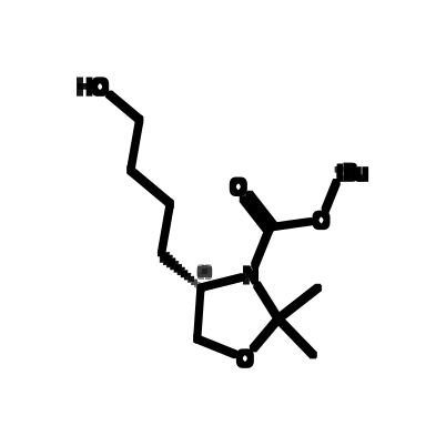 CC(C)(C)OC(=O)N1[C@@H](CCCCO)COC1(C)C